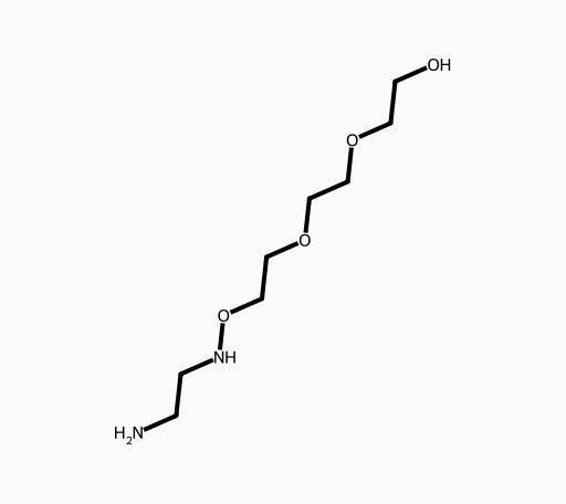 NCCNOCCOCCOCCO